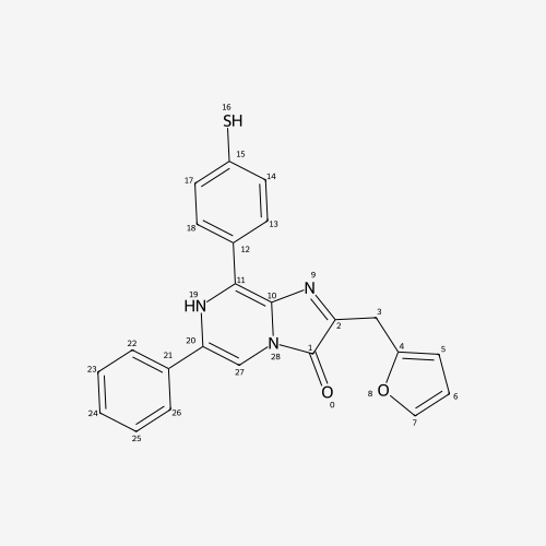 O=c1c(Cc2ccco2)nc2c(-c3ccc(S)cc3)[nH]c(-c3ccccc3)cn1-2